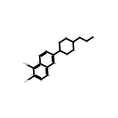 CCCC1CCC(c2ccc3c(F)c(F)ccc3c2)CC1